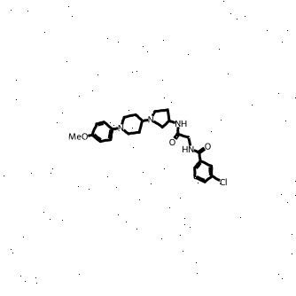 COc1ccc(N2CCC(N3CCC(NC(=O)CNC(=O)c4cccc(Cl)c4)C3)CC2)cc1